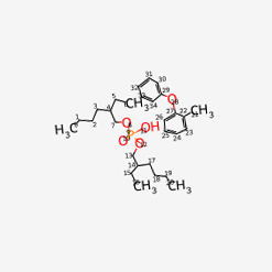 CCCCC(CC)COP(=O)(O)OCC(CC)CCCC.Cc1ccccc1Oc1ccccc1